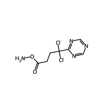 NOC(=O)CCC(Cl)(Cl)c1ncncn1